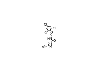 CCCc1ncc(C(=O)NCCOc2c(Cl)cc(Cl)cc2Cl)s1